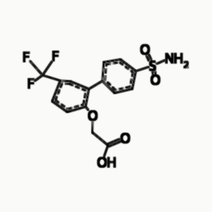 NS(=O)(=O)c1ccc(-c2cc(C(F)(F)F)ccc2OCC(=O)O)cc1